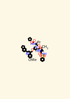 C=C[C@@H]1C[C@]1(NC(=O)[C@@H]1C[C@@H](OCc2cc(-c3ccc4c(c3)CCC4)nc3cc(OC)ccc23)CN1C(=O)[C@@H](NC(=O)OC1CCCC1)C(C)C)C(=O)NS(=O)(=O)c1ccccc1